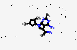 C=C(N)c1cn(C2CC(C)CC2C)c2c1C(N)=NC(C)N2